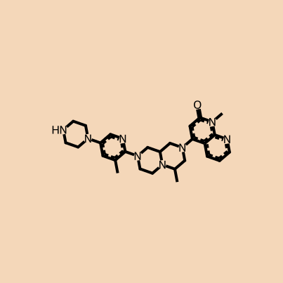 Cc1cc(N2CCNCC2)cnc1N1CCN2C(C)CN(c3cc(=O)n(C)c4ncccc34)CC2C1